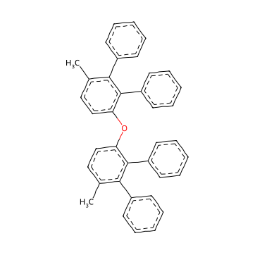 Cc1ccc(Oc2ccc(C)c(-c3ccccc3)c2-c2ccccc2)c(-c2ccccc2)c1-c1ccccc1